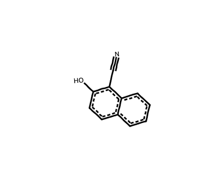 N#Cc1c(O)ccc2ccccc12